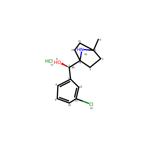 CC12CCC([C@H](O)c3cccc(Cl)c3)(CC1)N2.Cl